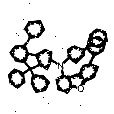 c1ccc(-c2ccc(N(c3ccc4c(c3)C(c3ccccc3)(c3ccccc3)c3cccc(-c5ccccc5)c3-4)c3cccc4oc5ccc(-c6ccccc6)cc5c34)cc2)cc1